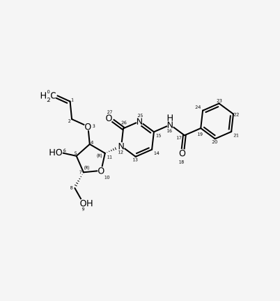 C=CCOC1C(O)[C@@H](CO)O[C@H]1n1ccc(NC(=O)c2ccccc2)nc1=O